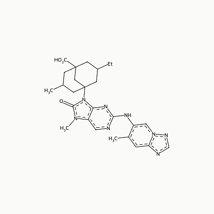 CCC1CC2(C(=O)O)CC(C)CC(n3c(=O)n(C)c4cnc(Nc5cn6ncnc6cc5C)nc43)(C1)C2